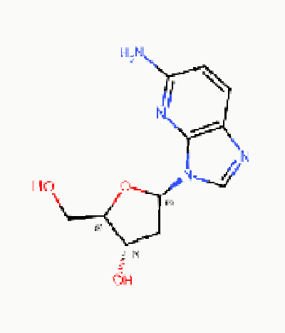 Nc1ccc2ncn([C@H]3C[C@H](O)[C@@H](CO)O3)c2n1